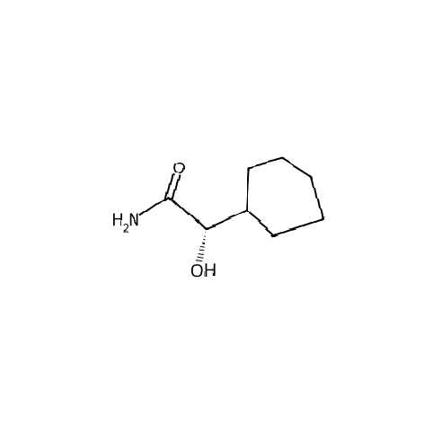 NC(=O)[C@@H](O)C1CCCCC1